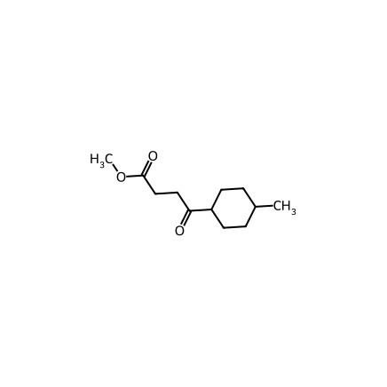 COC(=O)CCC(=O)C1CCC(C)CC1